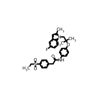 CCS(=O)(=O)c1ccc(CC(=O)Nc2ccc(OC(C)(C)Cn3c(C)cc4cc(F)ccc43)cc2)cc1